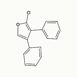 Clc1occ(-c2ccccc2)c1-c1ccccc1